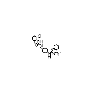 Cc1cccc(Cl)c1NC(=O)NCC1CCC(Nc2nc3c(c(N(C)C)n2)CCCC3)CC1